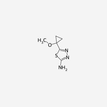 COC1(c2nnc(N)s2)CC1